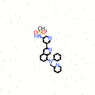 CS(=O)(=O)Nc1cncc(-c2cc3cccc(N(Cc4ccccn4)c4ccccc4)c3cn2)c1